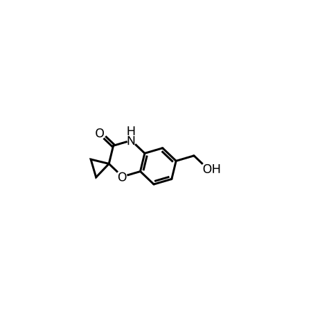 O=C1Nc2cc(CO)ccc2OC12CC2